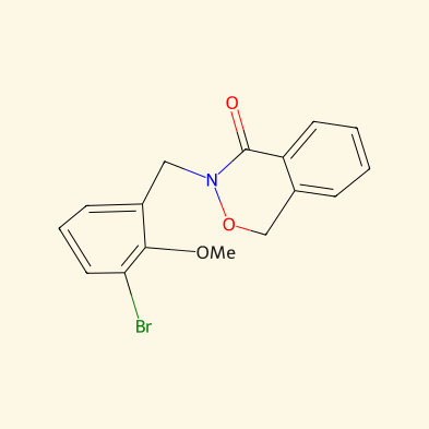 COc1c(Br)cccc1CN1OCc2ccccc2C1=O